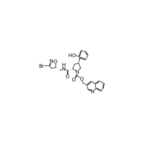 O=C(NC[C@@H]1CC(Br)=NO1)[C@@H]1C[C@@H](c2ccccc2O)CN1C(=O)OCc1cnc2ccccc2c1